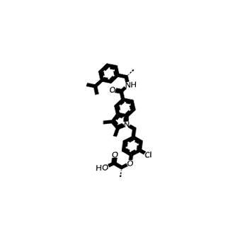 Cc1c(C)n(Cc2ccc(O[C@H](C)C(=O)O)c(Cl)c2)c2ccc(C(=O)N[C@@H](C)c3cccc(C(C)C)c3)cc12